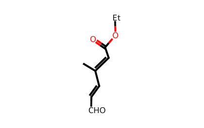 CCOC(=O)/C=C(C)/C=C/C=O